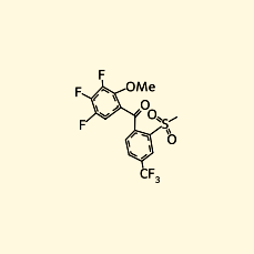 COc1c(C(=O)c2ccc(C(F)(F)F)cc2S(C)(=O)=O)cc(F)c(F)c1F